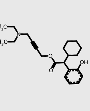 CCN(CC)CC#CCOC(=O)C(c1ccccc1O)C1CCCCC1